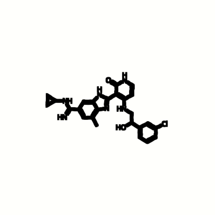 Cc1cc(C(=N)NC2CC2)cc2[nH]c(-c3c(NCC(O)c4cccc(Cl)c4)cc[nH]c3=O)nc12